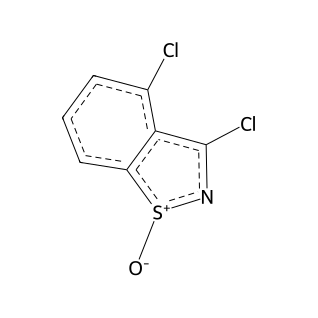 [O-][s+]1nc(Cl)c2c(Cl)cccc21